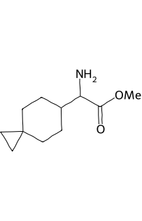 COC(=O)C(N)C1CCC2(CC1)CC2